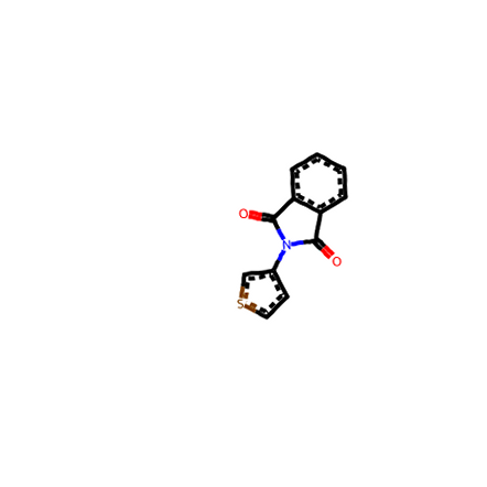 O=C1c2ccccc2C(=O)N1c1ccsc1